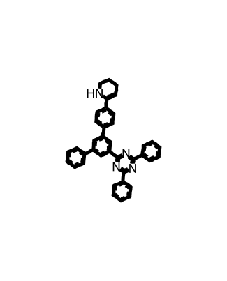 C1=C(c2ccc(-c3cc(-c4ccccc4)cc(-c4nc(-c5ccccc5)nc(-c5ccccc5)n4)c3)cc2)NCCC1